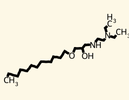 CCCCCCCCCCCCOCC(O)CNCCN(CC)CC